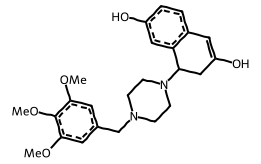 COc1cc(CN2CCN(C3CC(O)=Cc4ccc(O)cc43)CC2)cc(OC)c1OC